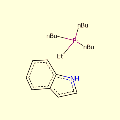 CCCC[P](CC)(CCCC)CCCC.c1ccc2[nH]ccc2c1